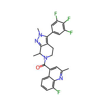 Cc1cc(C(=O)N2CCc3c(nn(C)c3-c3cc(F)c(F)c(F)c3)C2C)c2cccc(F)c2n1